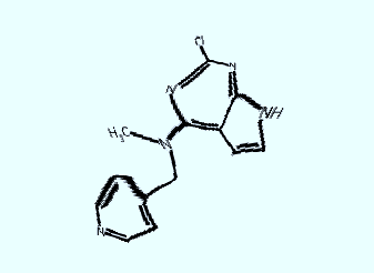 CN(Cc1ccncc1)c1nc(Cl)nc2[nH]ccc12